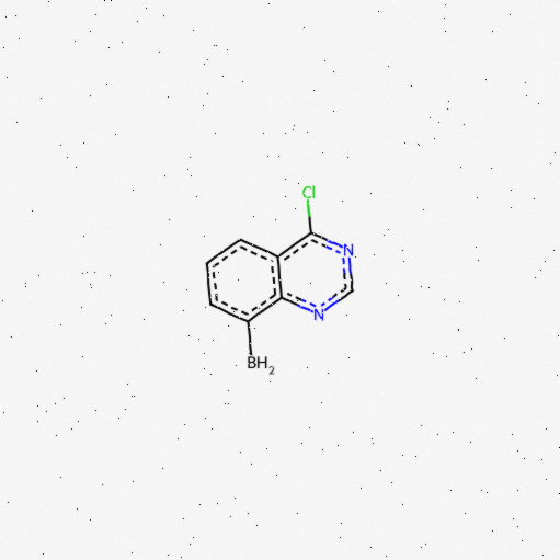 Bc1cccc2c(Cl)ncnc12